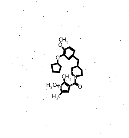 COc1ccc(CC2CCN(C(=O)c3cc(C)n(C)c3C)CC2)cc1OC1CCCC1